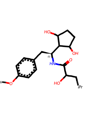 CCCCOc1ccc(C[C@H](NC(=O)C(O)CC(C)C)C2C(O)CCC2O)cc1